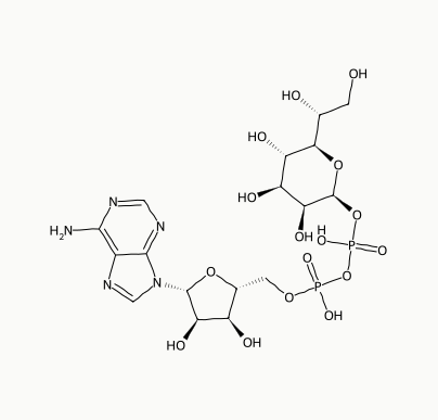 Nc1ncnc2c1ncn2[C@@H]1O[C@H](COP(=O)(O)OP(=O)(O)O[C@@H]2O[C@H]([C@H](O)CO)[C@@H](O)[C@H](O)[C@@H]2O)[C@@H](O)[C@H]1O